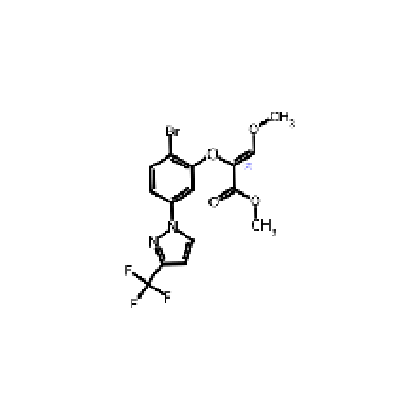 CO/C=C(\Oc1cc(-n2ccc(C(F)(F)F)n2)ccc1Br)C(=O)OC